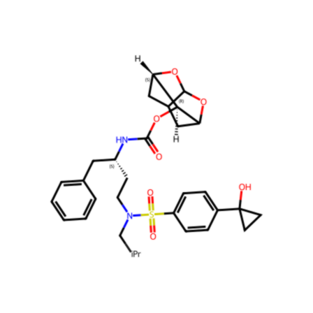 CC(C)CN(CC[C@H](Cc1ccccc1)NC(=O)O[C@@H]1C2CC3C[C@@H]1OC3O2)S(=O)(=O)c1ccc(C2(O)CC2)cc1